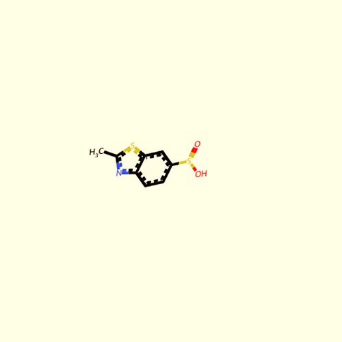 Cc1nc2ccc(S(=O)O)cc2s1